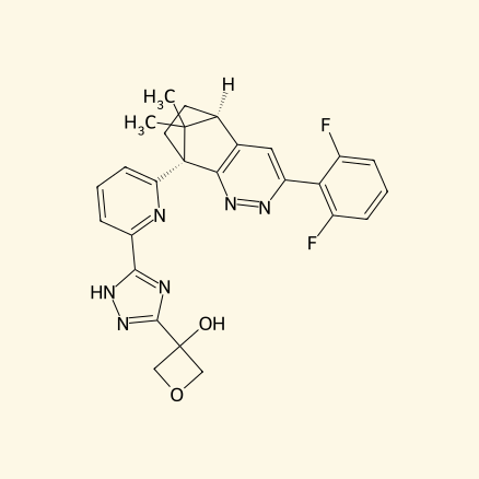 CC1(C)[C@H]2CC[C@]1(c1cccc(-c3nc(C4(O)COC4)n[nH]3)n1)c1nnc(-c3c(F)cccc3F)cc12